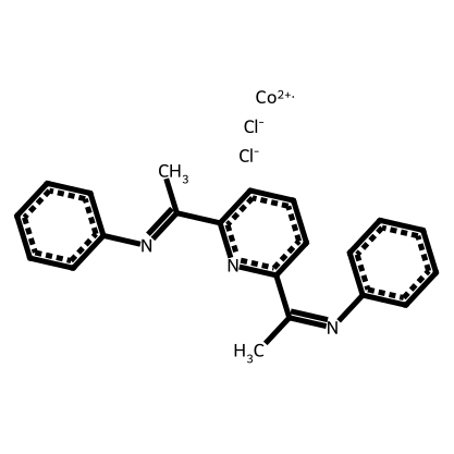 CC(=Nc1ccccc1)c1cccc(C(C)=Nc2ccccc2)n1.[Cl-].[Cl-].[Co+2]